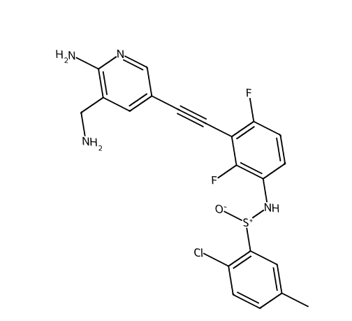 Cc1ccc(Cl)c([S+]([O-])Nc2ccc(F)c(C#Cc3cnc(N)c(CN)c3)c2F)c1